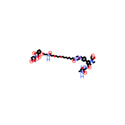 CCN(c1cc(-c2ccc(CN3CCN(C(=O)CCCCCCCCCCCCCCC(=O)NCCCOc4cccc5c4C(=O)N(C4CCC(=O)N(C)C4=O)C5=O)CC3)cc2)cc(C(=O)NCc2c(C)cc(C)[nH]c2=O)c1C)C1CCOCC1